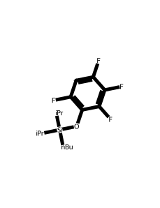 CCCC[Si](Oc1c(F)[c]c(F)c(F)c1F)(C(C)C)C(C)C